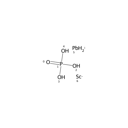 O=P(O)(O)O.[PbH2].[Sc]